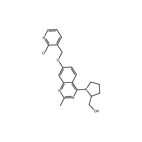 Cc1nc(N2CCCC2CO)c2ccc(OCc3cccnc3Cl)cc2n1